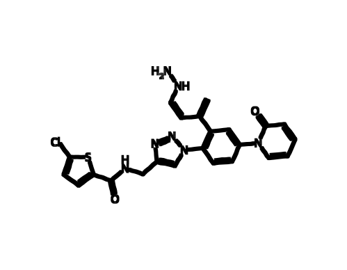 C=C(/C=C\NN)c1cc(-n2ccccc2=O)ccc1-n1cc(CNC(=O)c2ccc(Cl)s2)nn1